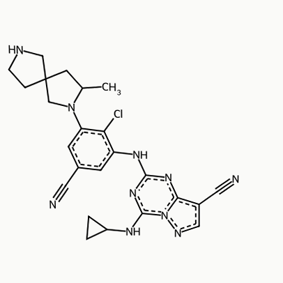 CC1CC2(CCNC2)CN1c1cc(C#N)cc(Nc2nc(NC3CC3)n3ncc(C#N)c3n2)c1Cl